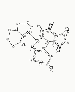 CC1=C(C(=O)N2CCCC3CCCCC32)C(c2cccc(Cl)c2)n2ncc(Cl)c2N1